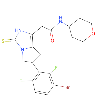 O=C(Cc1[nH]c(=S)n2c1CC(c1c(F)ccc(Br)c1F)C2)NC1CCOCC1